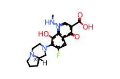 CNn1cc(C(=O)O)c(=O)c2cc(F)c(N3CCN4CCC[C@H]4C3)c(O)c21